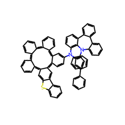 c1ccc(-c2cccc(N(c3ccc4c(c3)c3ccccc3c3ccccc3c3ccccc3c3cc5sc6ccccc6c5cc43)c3cccc4c3N(c3ccccc3)c3ccccc3-c3ccccc3-4)c2)cc1